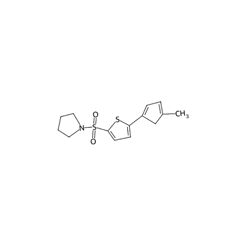 CC1=CC=C(c2ccc(S(=O)(=O)N3CCCC3)s2)C1